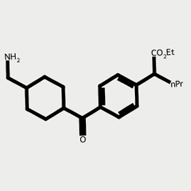 CCCC(C(=O)OCC)c1ccc(C(=O)C2CCC(CN)CC2)cc1